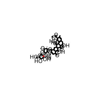 COC(=O)c1c(C)cc2c(c1O)[C@]1(O)C(=O)c3cc4c(c(O)c3C(=O)[C@]1(OC)[C@H](O)C2)C(=O)C=C(N[C@H]1O[C@@H](C)[C@H](OC)[C@@H](O[C@@H]2O[C@H](CO)[C@@H](O)[C@H](O)[C@H]2O)[C@H]1OC)C4=O